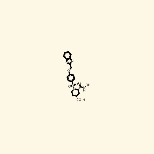 O=C(O)[C@@H]1CCN(S(=O)(=O)c2ccc(OCc3nc4ccccc4s3)cc2)[C@@H](C(=O)NO)C1